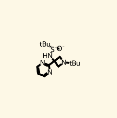 CC(C)(C)N1CC(N[S+]([O-])C(C)(C)C)(c2ncccn2)C1